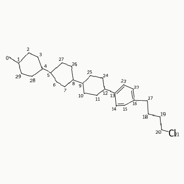 CC1CCC(C2CCC(C3CCC(c4ccc(CCCCCl)cc4)CC3)CC2)CC1